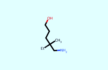 CCC(C)(CN)CCCO